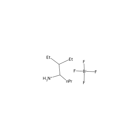 CCCC([NH3+])C(CC)CC.F[B-](F)(F)F